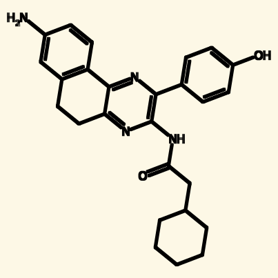 Nc1ccc2c(c1)CCc1nc(NC(=O)CC3CCCCC3)c(-c3ccc(O)cc3)nc1-2